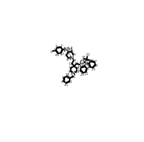 Cc1ccc(NC2CCN(CCC3(CCO[Si](c4ccccc4)(c4ccccc4)C(C)(C)C)CCN(Cc4ccccc4)CC3)CC2)cc1